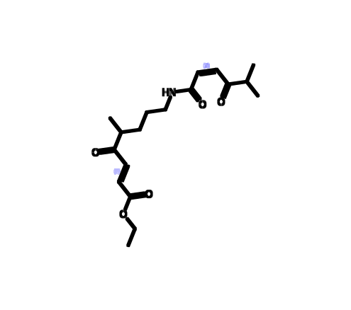 CCOC(=O)/C=C/C(=O)C(C)CCCNC(=O)/C=C\C(=O)C(C)C